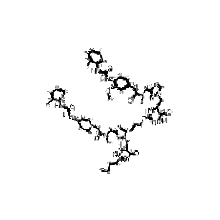 C=CCOC(=O)NC(Cn1cnc(CN(C)C(=O)Cc2ccc(NC(=O)Nc3ccccc3C)c(OC)c2)n1)C(=O)O.CCCCS(=O)(=O)NC(Cn1cnc(CN(C)C(=O)CN2CCC(NC(=O)Nc3ncccc3C)CC2)n1)C(=O)O